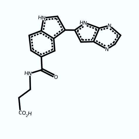 O=C(O)CCNC(=O)c1ccc2[nH]cc(-c3cc4nccnc4[nH]3)c2c1